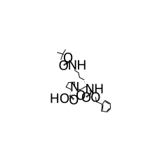 CC(C)(C)OC(=O)NCCCC[C@H](NC(=O)OCc1ccccc1)C(=O)N1CCC[C@H]1C(=O)O